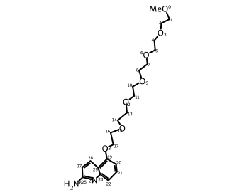 COCCOCCOCCOCCOCCOCCOc1cccc2nc(N)ccc12